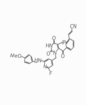 COc1ccc(CNc2cc(Cn3c(C(=O)c4cccc(C=CC#N)c4)c(C(C)C)c(=O)[nH]c3=O)cc(F)n2)cc1